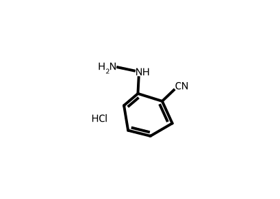 Cl.N#Cc1ccccc1NN